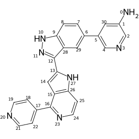 Nc1cncc(-c2ccc3[nH]nc(-c4cc5c(-c6ccncc6)nccc5[nH]4)c3c2)c1